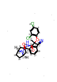 CC(C)(Oc1ccc(Cl)cc1Cl)C(=O)N[C@H]1C[C@H]2CC[C@@H](C1)N2C(=O)c1cccc(C#N)c1